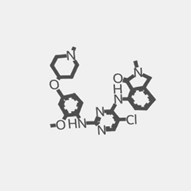 COc1cc(OC2CCN(C)CC2)ccc1Nc1ncc(Cl)c(Nc2cccc3c2C(=O)N(C)C3)n1